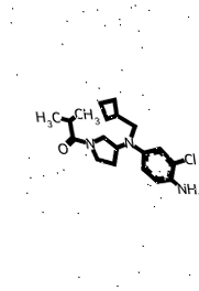 CC(C)C(=O)N1CCC(N(CC2CCC2)c2ccc(N)c(Cl)c2)C1